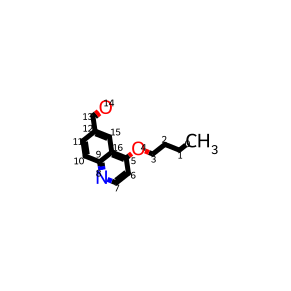 CCCCOc1ccnc2ccc(C=O)cc12